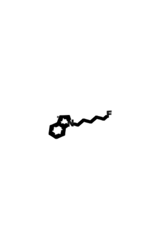 FCCCCCn1c[c]c2ccccc21